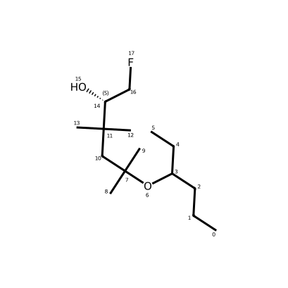 CCCC(CC)OC(C)(C)CC(C)(C)[C@H](O)CF